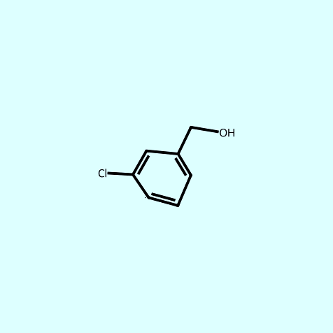 OCc1cc[c]c(Cl)c1